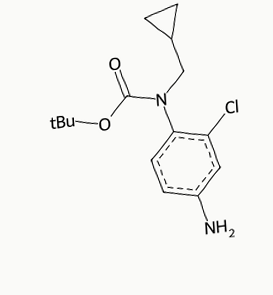 CC(C)(C)OC(=O)N(CC1CC1)c1ccc(N)cc1Cl